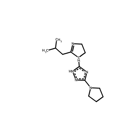 CC(C)CC1=NCC[SH]1c1nc(N2CCCC2)n[nH]1